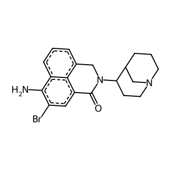 Nc1c(Br)cc2c3c(cccc13)CN(C1CCN3CCCC1C3)C2=O